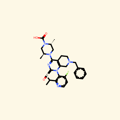 CC(C)c1nccc(F)c1N1C(=C=O)N=C(N2C[C@@H](C)N(C(=O)O)C[C@@H]2C)C2=C1CN(Cc1ccccc1)CC2